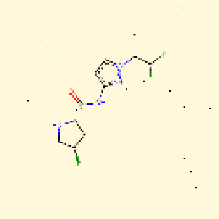 O=C(Nc1ccn(CC(F)F)n1)[C@@H]1C[C@@H](F)CN1